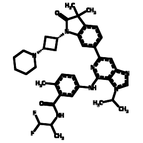 Cc1ccc(Nc2nc(-c3ccc4c(c3)N([C@H]3C[C@@H](N5CCCCC5)C3)C(=O)C4(C)C)cc3ncn(C(C)C)c23)cc1C(=O)NC(C)C(F)F